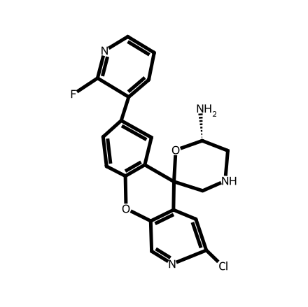 N[C@@H]1CNCC2(O1)c1cc(-c3cccnc3F)ccc1Oc1cnc(Cl)cc12